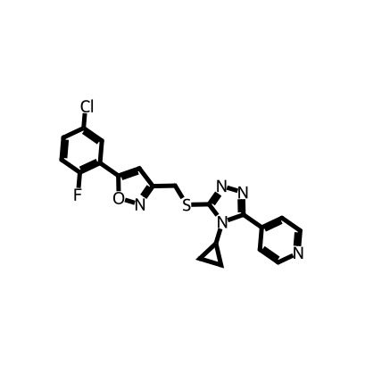 Fc1ccc(Cl)cc1-c1cc(CSc2nnc(-c3ccncc3)n2C2CC2)no1